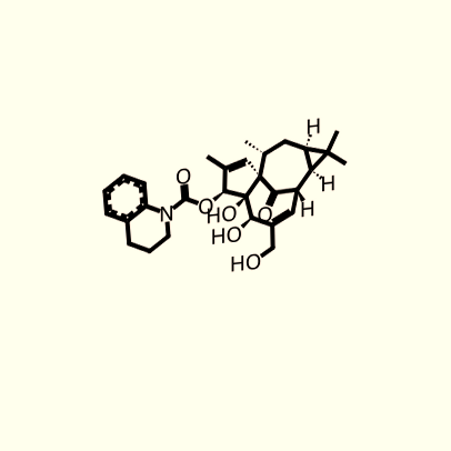 CC1=C[C@]23C(=O)[C@@H](C=C(CO)[C@@H](O)[C@]2(O)[C@H]1OC(=O)N1CCCc2ccccc21)[C@H]1[C@@H](C[C@H]3C)C1(C)C